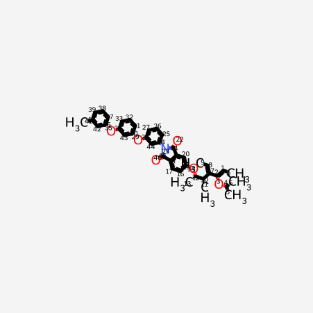 C/C=C(OC(C)C)/C(=C/C)[C@H](C)[C@@H](C)Oc1ccc2c(c1)C(=O)N(c1cccc(Oc3cccc(Oc4cccc(C)c4)c3)c1)C2=O